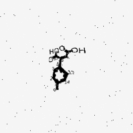 Cc1ccc(C(=CC(=O)O)C(=O)O)cc1